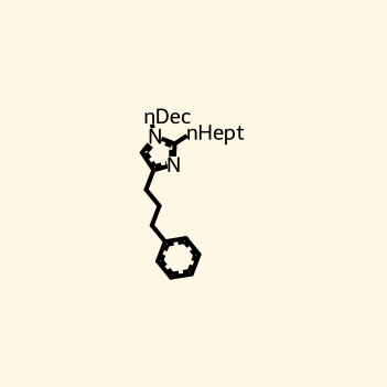 CCCCCCCCCCn1cc(CCCc2ccccc2)nc1CCCCCCC